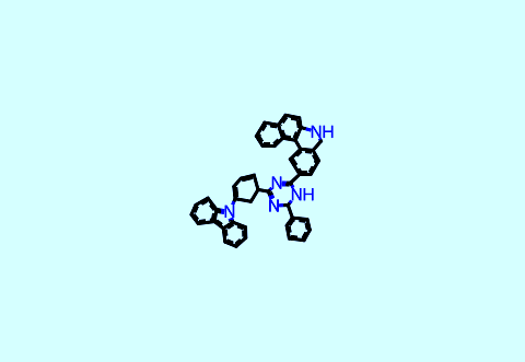 C1=CC(C2=NC(c3ccccc3)NC(c3ccc4c(c3)-c3c(ccc5ccccc35)NC4)=N2)CC(n2c3ccccc3c3ccccc32)=C1